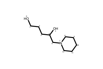 OCCCC(O)CN1CCCCC1